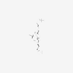 COC(C)OC.OCCOCCOCCOCCO